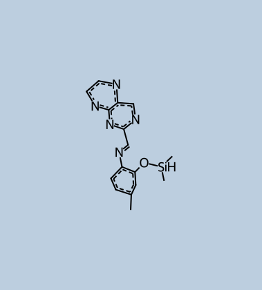 Cc1ccc(N=Cc2ncc3nccnc3n2)c(O[SiH](C)C)c1